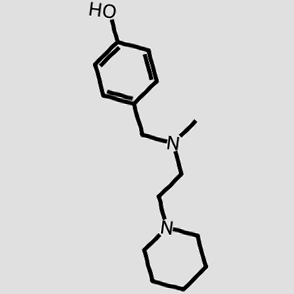 CN(CCN1CCCCC1)Cc1ccc(O)cc1